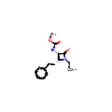 CC(C)(C)OC(=O)N[C@@H]1C(=O)N(CC(=O)O)[C@@H]1CCc1ccccc1